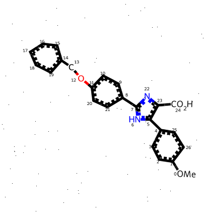 COc1ccc(-c2[nH]c(-c3ccc(OCc4ccccc4)cc3)nc2C(=O)O)cc1